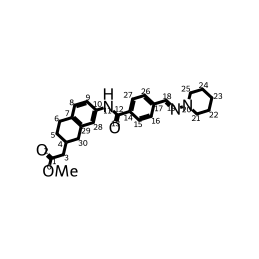 COC(=O)CC1CCc2ccc(NC(=O)c3ccc(C=NN4CCCCC4)cc3)cc2C1